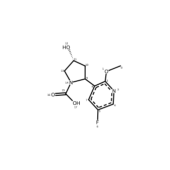 COc1ncc(F)cc1C1C[C@@H](O)CN1C(=O)O